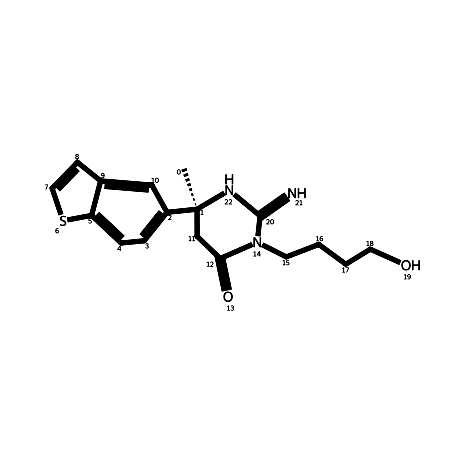 C[C@@]1(c2ccc3sccc3c2)CC(=O)N(CCCCO)C(=N)N1